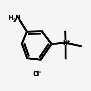 C[N+](C)(C)c1cccc(N)c1.[Cl-]